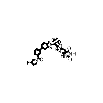 CC1(Cc2nnc(C(c3nc4ccc(-c5cccc(C(=O)N6CC[C@@H](F)C6)c5)cc4s3)S(C)(=O)=O)o2)NC(=O)NC1=O